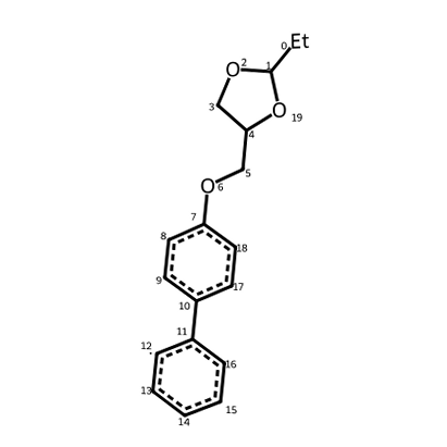 CCC1OCC(COc2ccc(-c3[c]cccc3)cc2)O1